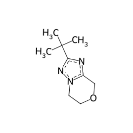 CC(C)(C)c1nc2n(n1)CCOC2